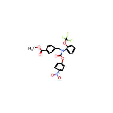 COC(=O)c1ccc(CN(C(=O)Oc2ccc([N+](=O)[O-])cc2)c2ccccc2OC(F)(F)F)cc1